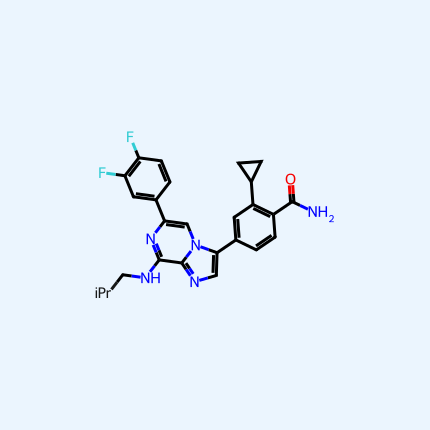 CC(C)CNc1nc(-c2ccc(F)c(F)c2)cn2c(-c3ccc(C(N)=O)c(C4CC4)c3)cnc12